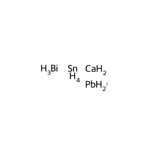 [BiH3].[CaH2].[PbH2].[SnH4]